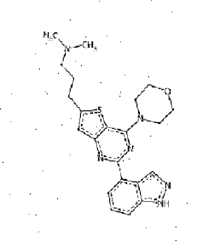 CN(C)CCCc1cc2nc(-c3cccc4[nH]ncc34)nc(N3CCOCC3)c2s1